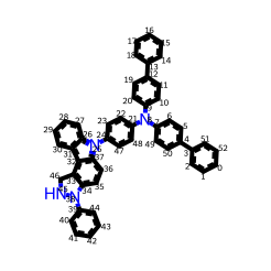 c1ccc(-c2ccc(N(c3ccc(-c4ccccc4)cc3)c3ccc(-n4c5ccccc5c5c6c(ccc54)N(c4ccccc4)NC6)cc3)cc2)cc1